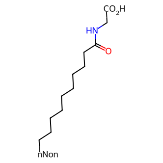 CCCCCCCCCCCCCCCCCCC(=O)NCC(=O)O